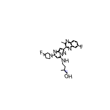 C/C(=C\O)CCNc1cc(N2CC[C@@H](F)C2)nc2cc(-c3nc4cc(F)ccc4nc3C)nn12